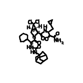 NC(=O)C(=O)C(CC1CC1)NC(=O)[C@@H]1[C@H]2[C@@H](CN1C(=O)[C@@H](NC(=O)NC13CC4CC(CC(C4)C1)C3)C1CCCCC1)C2(Cl)Cl